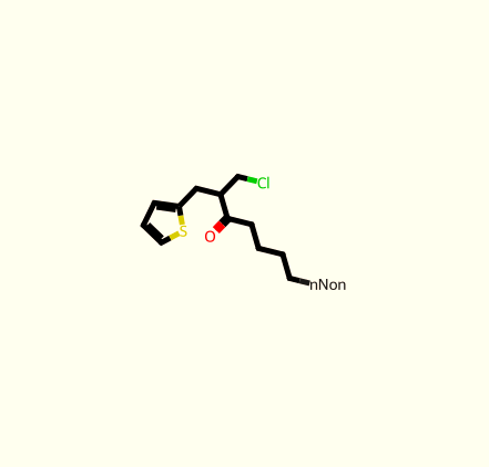 CCCCCCCCCCCCCC(=O)C(CCl)Cc1cccs1